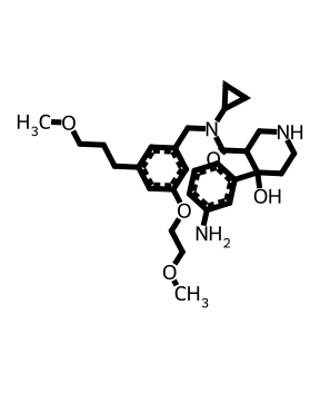 COCCCc1cc(CN(C(=O)C2CNCCC2(O)c2cccc(N)c2)C2CC2)cc(OCCOC)c1